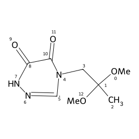 COC(C)(Cn1[c]n[nH]c(=O)c1=O)OC